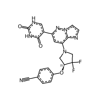 N#Cc1ccc(O[C@H]2CN(c3cc(-c4c[nH]c(=O)[nH]c4=O)nn4ccnc34)CC2(F)F)cc1